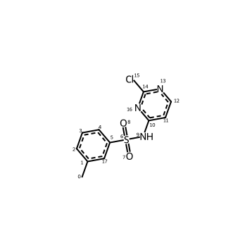 Cc1cccc(S(=O)(=O)Nc2ccnc(Cl)n2)c1